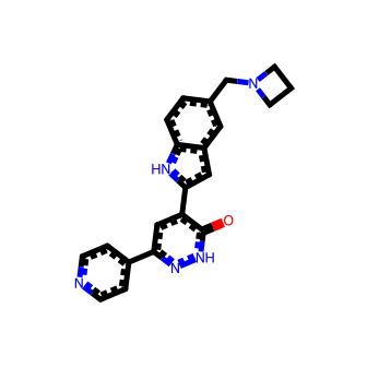 O=c1[nH]nc(-c2ccncc2)cc1-c1cc2cc(CN3CCC3)ccc2[nH]1